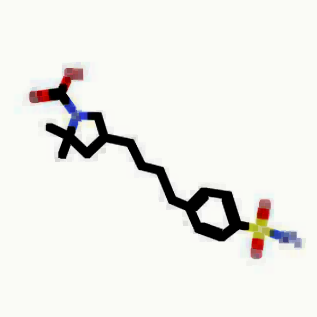 CC1(C)CC(CCCCc2ccc(S(N)(=O)=O)cc2)CN1C(=O)O